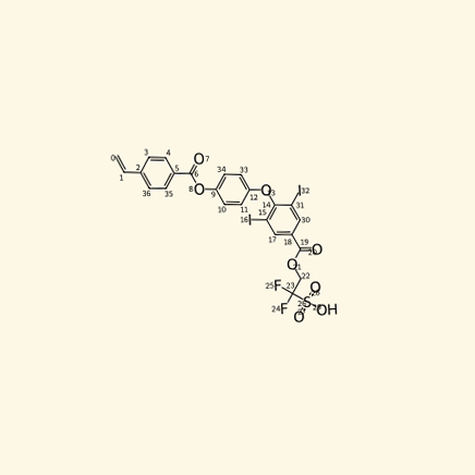 C=Cc1ccc(C(=O)Oc2ccc(Oc3c(I)cc(C(=O)OCC(F)(F)S(=O)(=O)O)cc3I)cc2)cc1